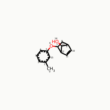 Cc1cccc(OC2CC3C=CC2C3O)c1